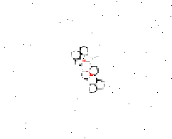 CCn1c(-c2ccc(-c3cccc4cccc(-c5ccc(-c6nc7ccccc7n6CC)cc5)c34)cc2)nc2ccccc21